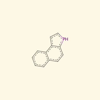 c1ccc2c(c1)ccc1[pH]ccc12